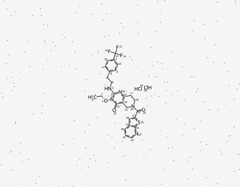 CCOn1c(NCCc2ccc(C(F)(F)F)cc2)nc2c(c1=O)CN(C(=O)c1cc3cccnc3s1)CC2.Cl.Cl